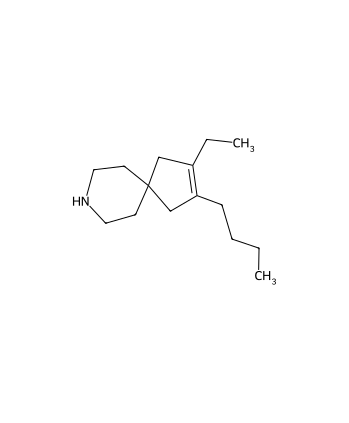 CCCCC1=C(CC)CC2(CCNCC2)C1